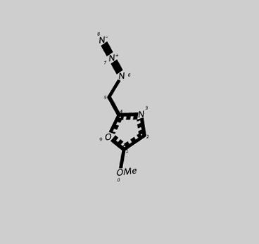 COc1cnc(CN=[N+]=[N-])o1